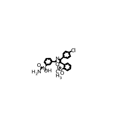 CS(=O)(=O)c1ccccc1-c1oc(-c2cccc(N(O)C(N)=O)c2)nc1-c1ccc(Cl)cc1